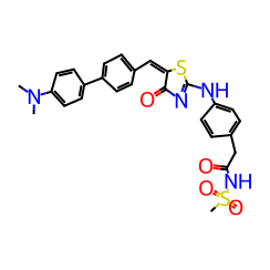 CN(C)c1ccc(-c2ccc(C=C3SC(Nc4ccc(CC(=O)NS(C)(=O)=O)cc4)=NC3=O)cc2)cc1